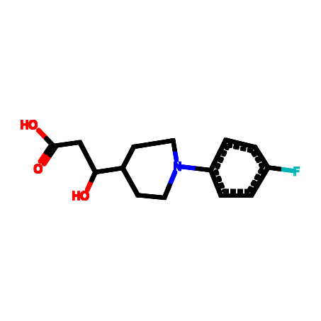 O=C(O)CC(O)C1CCN(c2ccc(F)cc2)CC1